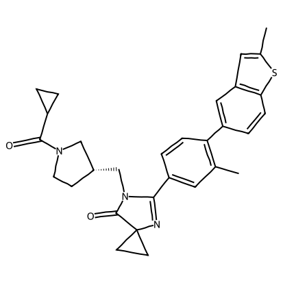 Cc1cc2cc(-c3ccc(C4=NC5(CC5)C(=O)N4C[C@@H]4CCN(C(=O)C5CC5)C4)cc3C)ccc2s1